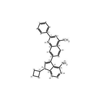 Cc1nc(-c2ccccc2)nc2cc(-c3cn(C4CCC4)c4ncnc(N)c34)ccc12